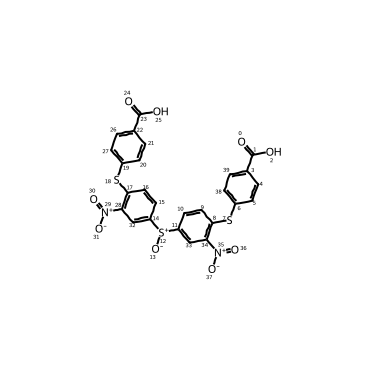 O=C(O)c1ccc(Sc2ccc([S+]([O-])c3ccc(Sc4ccc(C(=O)O)cc4)c([N+](=O)[O-])c3)cc2[N+](=O)[O-])cc1